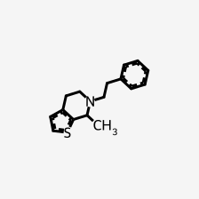 CC1c2sccc2CCN1CCc1ccccc1